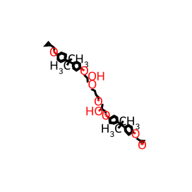 CC(C)(c1ccc(OCC(O)COCCCCOCC(O)COc2ccc(C(C)(C)c3ccc(OCC4CO4)cc3)cc2)cc1)c1ccc(OCC2CC2)cc1